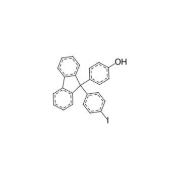 Oc1ccc(C2(c3ccc(I)cc3)c3ccccc3-c3ccccc32)cc1